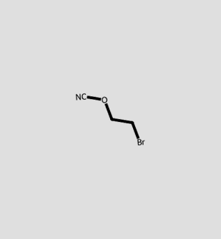 N#COCCBr